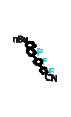 CCCCc1ccc2c(F)c(-c3ccc(-c4ccc(C#N)c(F)c4)c(F)c3)ccc2c1